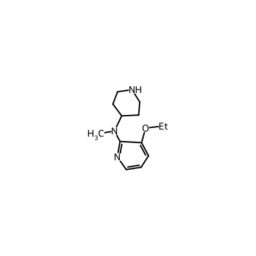 CCOc1cccnc1N(C)C1CCNCC1